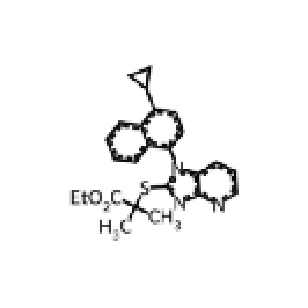 CCOC(=O)C(C)(C)Sc1nc2ncccc2n1-c1ccc(C2CC2)c2ccccc12